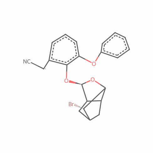 N#C[CH]c1cccc(Oc2ccccc2)c1O[C@H]1OC2C3CC(CC31)[C@@H]2Br